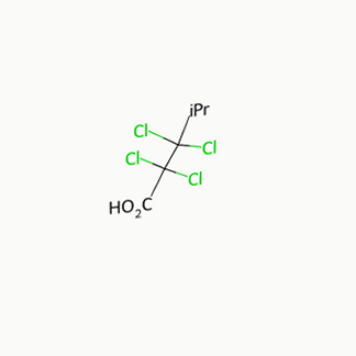 CC(C)C(Cl)(Cl)C(Cl)(Cl)C(=O)O